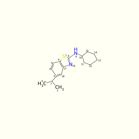 CC(C)c1ccc2sc(NC3CCCCC3)nc2c1